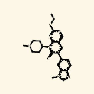 CCOc1ncc2cc(-c3ccc4ncn(C)c4c3)c(=O)n(C3CCN(C)CC3)c2n1